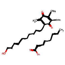 CCCCCCCC(=O)O.COC1=C(OC)C(=O)C(CCCCCCCCCCO)=C(C)C1=O